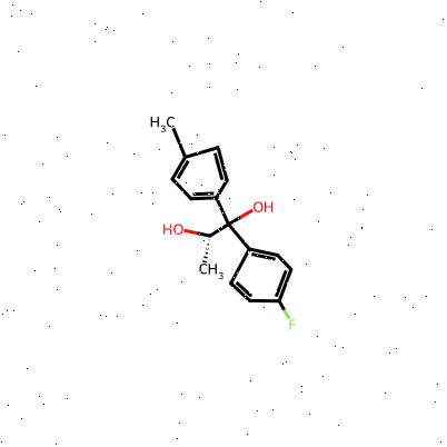 Cc1ccc(C(O)(c2ccc(F)cc2)[C@H](C)O)cc1